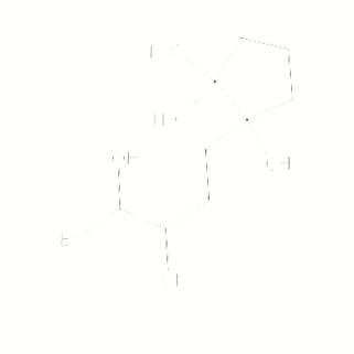 CCC(O)C(C)CCC1(C)CCCC1(C)C